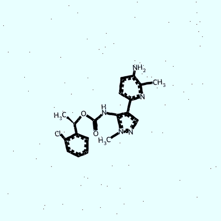 Cc1nc(-c2cnn(C)c2NC(=O)O[C@H](C)c2ccccc2Cl)ccc1N